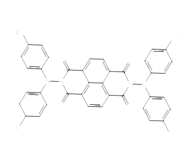 CC(C)c1ccc(N(C2=CCC(C(C)(C)C)C=C2)N2C(=O)c3ccc4c5c(ccc(c35)C2=O)C(=O)N(N(c2ccc(C(C)C)cc2)c2ccc(C(C)(C)C)cc2)C4=O)cc1